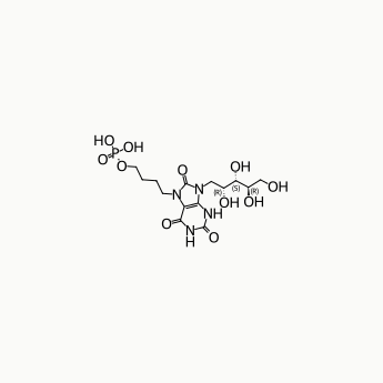 O=c1[nH]c(=O)c2c([nH]1)n(C[C@@H](O)[C@H](O)[C@H](O)CO)c(=O)n2CCCCOP(=O)(O)O